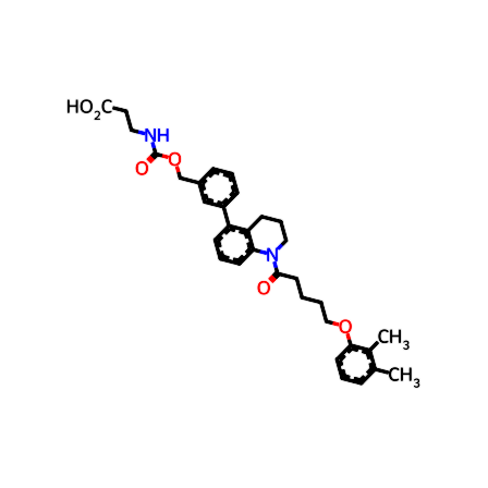 Cc1cccc(OCCCCC(=O)N2CCCc3c(-c4cccc(COC(=O)NCCC(=O)O)c4)cccc32)c1C